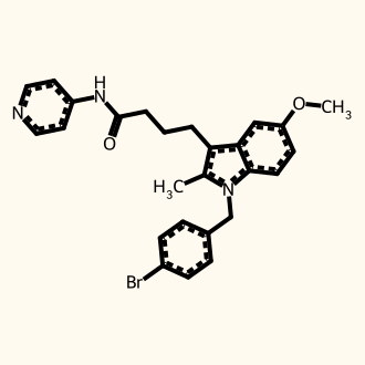 COc1ccc2c(c1)c(CCCC(=O)Nc1ccncc1)c(C)n2Cc1ccc(Br)cc1